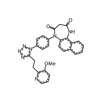 COc1cccnc1CCc1nnnn1-c1ccc(N2C(=O)CC(=O)Nc3c2ccc2ccccc32)cc1